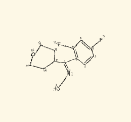 ON=C(c1ccc(F)cc1F)C1CCOCC1